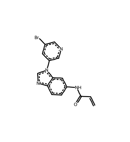 C=CC(=O)Nc1ccc2ncn(-c3cncc(Br)c3)c2c1